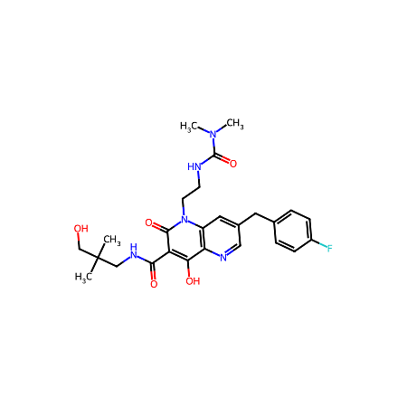 CN(C)C(=O)NCCn1c(=O)c(C(=O)NCC(C)(C)CO)c(O)c2ncc(Cc3ccc(F)cc3)cc21